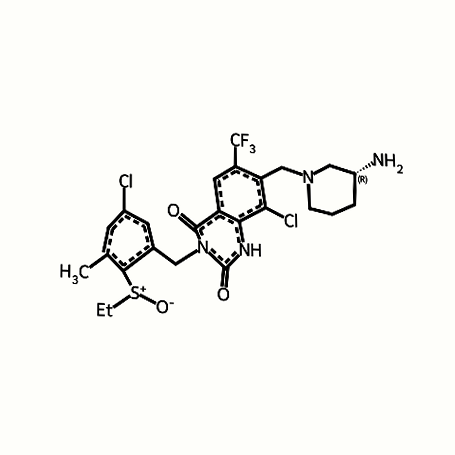 CC[S+]([O-])c1c(C)cc(Cl)cc1Cn1c(=O)[nH]c2c(Cl)c(CN3CCC[C@@H](N)C3)c(C(F)(F)F)cc2c1=O